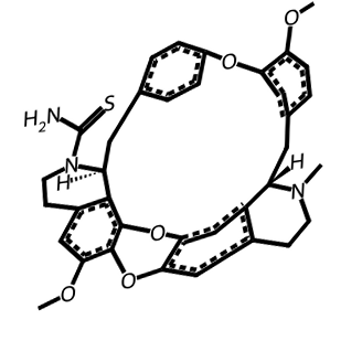 COc1ccc2cc1Oc1ccc(cc1)C[C@H]1c3c(cc(OC)c4c3Oc3cc5c(cc3O4)CCN(C)[C@H]5C2)CCN1C(N)=S